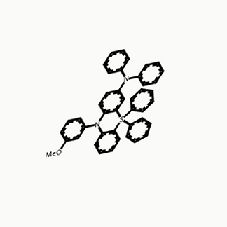 COc1cccc(N2c3ccccc3S(c3ccccc3)(c3ccccc3)c3cc(N(c4ccccc4)c4ccccc4)ccc32)c1